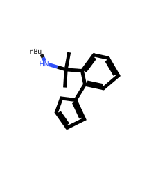 CCCCNC(C)(C)c1ccccc1C1=CC=CC1